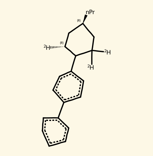 [2H][C@@H]1C[C@@H](CCC)CC([2H])([2H])C1c1ccc(-c2ccccc2)cc1